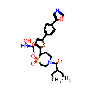 CCC(CC)C(=O)N1CC[C@](CC(=O)NO)(c2ccc(-c3ccc(-c4cnco4)cc3)s2)S(=O)(=O)CC1